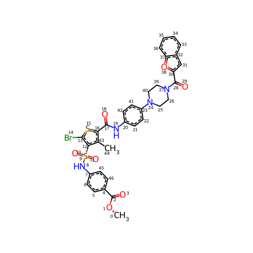 COC(=O)c1ccc(NS(=O)(=O)c2c(Br)sc(C(=O)Nc3ccc(N4CCN(C(=O)c5cc6ccccc6o5)CC4)cc3)c2C)cc1